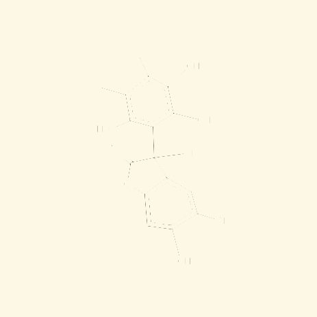 Cc1cc2c(cc1C)C(C)(c1c(C)c(C)c(C)c(C)c1C)C(=O)O2